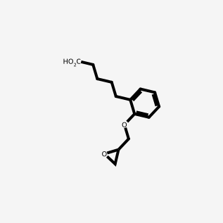 O=C(O)CCCCc1ccccc1OCC1CO1